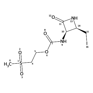 CS(=O)(=O)CCOC(=O)N[C@H]1C(=O)N[C@H]1CI